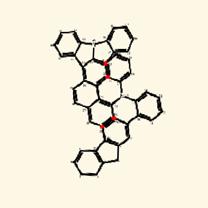 C1=CC2=C(CC1)Cc1cc(-c3ccccc3N(c3ccccc3)c3cccc4ccc5c(cc6c7ccccc7n7c8ccccc8c5c67)c34)ccc12